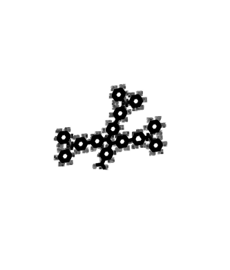 CC(C)c1ccc(C(=C(c2ccc(-c3ccc(N(c4ccccc4)c4ccccc4)cc3)cc2)c2ccc(-c3ccc(N(c4ccccc4)c4ccccc4)cc3)cc2)c2ccc(C3C=CC(N(c4ccccc4)c4ccccc4)=CC3)cc2)cc1